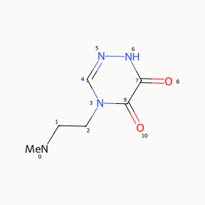 CNCCn1[c]n[nH]c(=O)c1=O